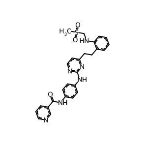 CS(=O)(=O)CNc1ccccc1CCc1ccnc(Nc2ccc(NC(=O)c3cccnc3)cc2)n1